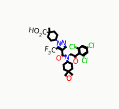 C[C@]1(C(=O)O)CC[C@H](n2ncc(C(=O)N(CC(=O)c3c(Cl)cc(Cl)cc3Cl)C3CCC4(CC3)COC4)c2C(F)(F)F)CC1